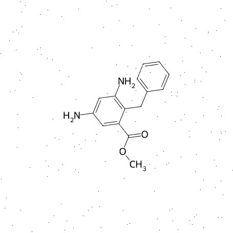 COC(=O)c1cc(N)cc(N)c1Cc1ccccc1